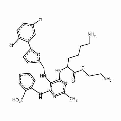 Cc1nc(Nc2ccccc2C(=O)O)c(NCc2ccc(-c3cc(Cl)ccc3Cl)o2)c(NC(CCCCN)C(=O)NCCN)n1